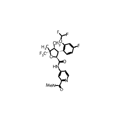 CNC(=O)c1cc(NC(=O)[C@H]2O[C@](C)(C(F)(F)F)[C@@H](C)[C@@H]2c2ccc(F)cc2OC(F)F)ccn1